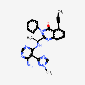 CC#Cc1cccc2nc([C@H](C)Nc3ncnc(N)c3-c3ncn(C)n3)n(-c3ccccc3)c(=O)c12